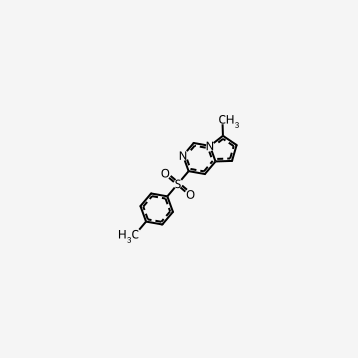 Cc1ccc(S(=O)(=O)c2cc3ccc(C)n3cn2)cc1